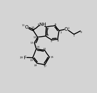 CCOc1ccc2c(c1)NC(=O)/C2=C/c1ccccc1F